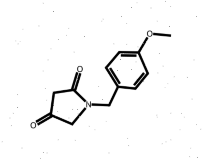 COc1ccc(CN2CC(=O)CC2=O)cc1